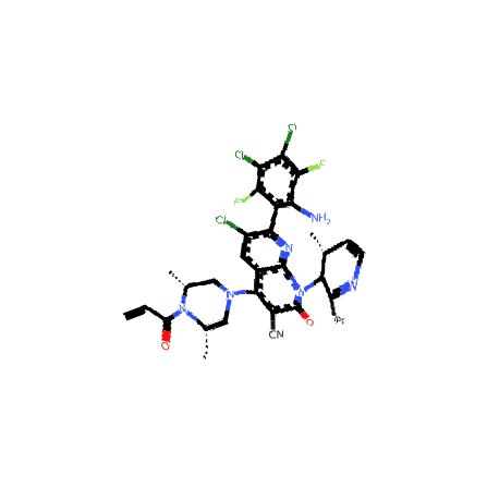 C=CC(=O)N1[C@H](C)CN(c2c(C#N)c(=O)n(C3C(C(C)C)=NC=C[C@H]3C)c3nc(-c4c(N)c(F)c(Cl)c(Cl)c4F)c(Cl)cc23)C[C@@H]1C